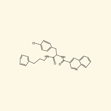 O=C(NC(Cc1ccc(Cl)cc1)C(=O)NCCCc1ccccc1)c1cnc2ccccc2c1